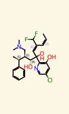 C/C=C\C(=C/C(O)(c1ncc(Cl)cc1O)[C@H](O)[C@H](CN(C)C)[C@H](C)c1ccccc1)C(F)F